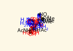 COc1cc(SSc2ncccc2[N+](=O)[O-])c(CN[C@@H](C)C(=O)N[C@@H](CCC(N)=O)C(=O)N[C@@H](CC(=O)N[C@@H]2OC(CO)[C@@H](O[C@@H]3OC(CO)[C@@H](O)C(O)C3NC(C)=O)C(O)C2NC(C)=O)C(=O)N[C@@H](CCCNC(=N)N)C(=O)N[C@@H](CO)C(=O)N[C@@H](C)C(N)=O)c(OC)c1OC